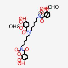 O=COc1cccc(C(=O)N(CCCCCCN(CCCCCCn2c(=O)oc3c(OO)cccc3c2=O)C(=O)c2cccc(OO)c2OC=O)C(=O)O)c1OO